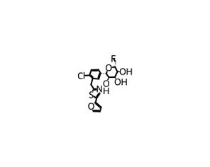 O[C@@H]1[C@@H](O)[C@H](c2ccc(Cl)c(Cc3ncc(-c4ccco4)s3)c2)O[C@H](CF)[C@H]1O